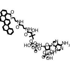 CC(C)(COP(=O)(O)OP(=O)(O)OC[C@H]1O[C@@H](n2cnc3c(N)ncnc32)[C@H](O)[C@@H]1OP(=O)(O)O)[C@@H](O)C(=O)NCCC(=O)NCCSC(=O)c1cccc2ccc3c4ccc5ccccc5c4ccc3c12